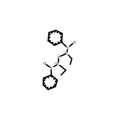 CC[13CH](O[13CH](CC)[S+]([O-])c1ccccc1)[S+]([O-])c1ccccc1